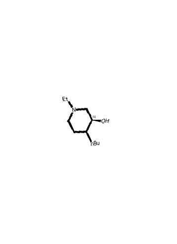 CCCCC1CCN(CC)C[C@H]1O